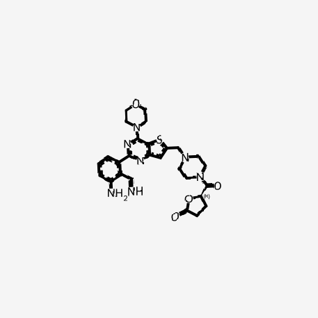 N=Cc1c(N)cccc1-c1nc(N2CCOCC2)c2sc(CN3CCN(C(=O)[C@H]4CCC(=O)O4)CC3)cc2n1